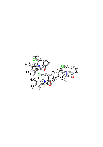 CC1=C(C)C(C)(c2nc3c([O-])cccc3cc2Cl)C(C)=C1C.CC1=C(C)C(C)(c2nc3c([O-])cccc3cc2Cl)C(C)=C1C.CC1=C(C)C(C)(c2nc3c([O-])cccc3cc2Cl)C(C)=C1C.[Ir+3]